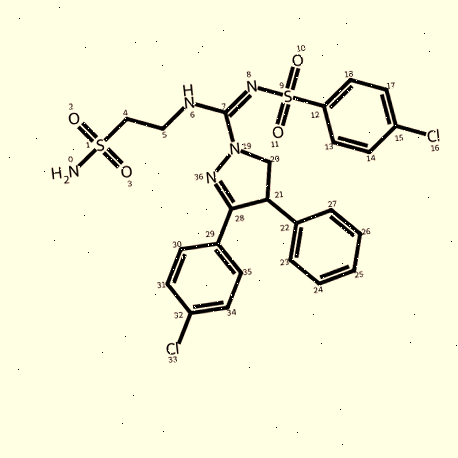 NS(=O)(=O)CCN/C(=N/S(=O)(=O)c1ccc(Cl)cc1)N1CC(c2ccccc2)C(c2ccc(Cl)cc2)=N1